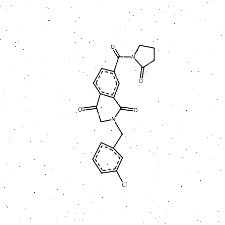 O=C1CN(Cc2cccc(Cl)c2)C(=O)c2cc(C(=O)N3CCCC3=O)ccc21